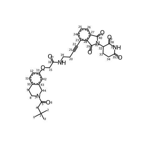 CC(C)(C)CC(=O)N1CCc2ccc(OCC(=O)NCCC#Cc3cccc4c3C(=O)N(C3CCC(=O)NC3=O)C4=O)cc2C1